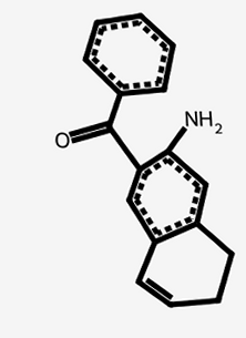 Nc1cc2c(cc1C(=O)c1ccccc1)C=CCC2